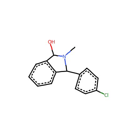 CN1C(O)c2ccccc2C1c1ccc(Cl)cc1